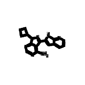 Nc1ncnc2c1c(-c1cc3cccnc3[nH]1)nn2C1CCC1